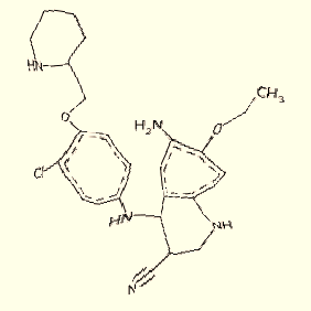 CCOc1cc2c(cc1N)C(Nc1ccc(OCC3CCCCN3)c(Cl)c1)C(C#N)CN2